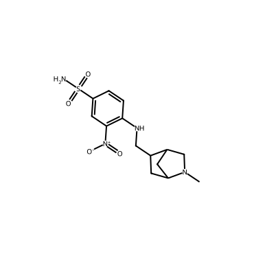 CN1CC2CC1CC2CNc1ccc(S(N)(=O)=O)cc1[N+](=O)[O-]